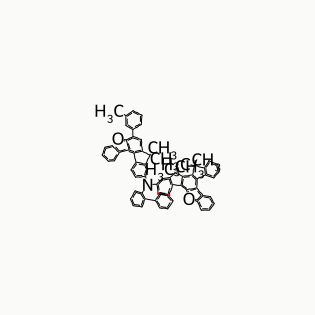 Cc1cccc(-c2cc3c(c4c2oc2ccccc24)-c2ccc(N(c4ccc5c(c4)C(C)(C)c4c6c(c7c(oc8ccccc87)c4-5)-c4ccccc4C6(C)C)c4ccccc4-c4ccccc4)cc2C3(C)C)c1